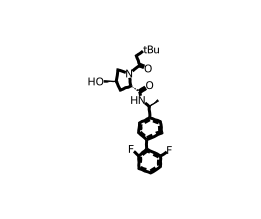 C[C@H](NC(=O)[C@@H]1C[C@@H](O)CN1C(=O)CC(C)(C)C)c1ccc(-c2c(F)cccc2F)cc1